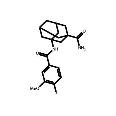 COc1cc(C(=O)NC23CC4CC(C2)CC(C(N)=O)(C4)C3)ccc1F